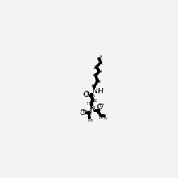 CCCCCCCNC(=O)CCN(C(C)=O)C(=O)CC